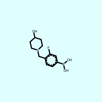 OB(O)c1ccc(CN2CCC(O)CC2)c(F)c1